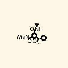 CNC(=O)c1cc(C(=O)NC2CC2)cc2c1O[C@@H](C)[C@@H]2c1ccccc1